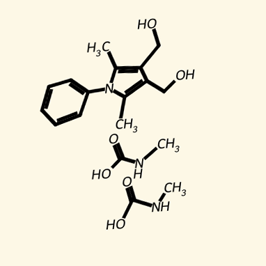 CNC(=O)O.CNC(=O)O.Cc1c(CO)c(CO)c(C)n1-c1ccccc1